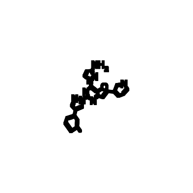 Cc1cccc(-c2cnn(-c3nc(-n4ccc(N)n4)c4oc(-c5cccnc5)cc4n3)c2)c1